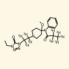 [2H]C([2H])([2H])C([2H])([2H])C(=O)N(c1ccccc1)C1(OC)CCN(C([2H])([2H])C([2H])([2H])n2nnn(CC)c2=O)CC1